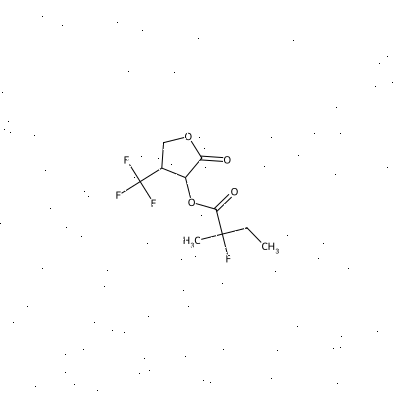 CCC(C)(F)C(=O)OC1C(=O)OCC1C(F)(F)F